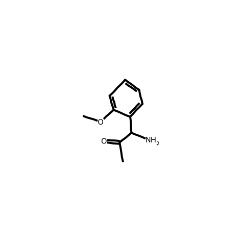 COc1ccccc1C(N)C(C)=O